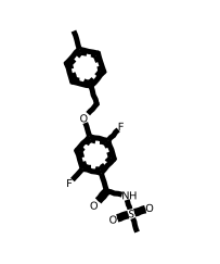 Cc1ccc(COc2cc(F)c(C(=O)NS(C)(=O)=O)cc2F)cc1